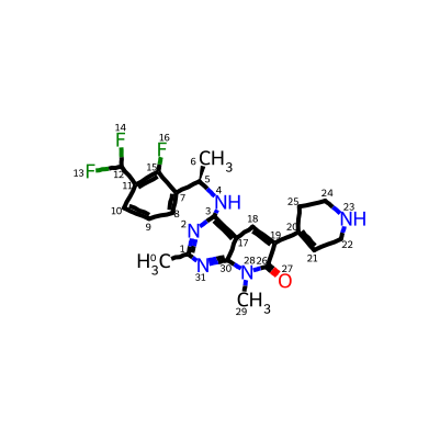 Cc1nc(N[C@H](C)c2cccc(C(F)F)c2F)c2cc(C3=CCNCC3)c(=O)n(C)c2n1